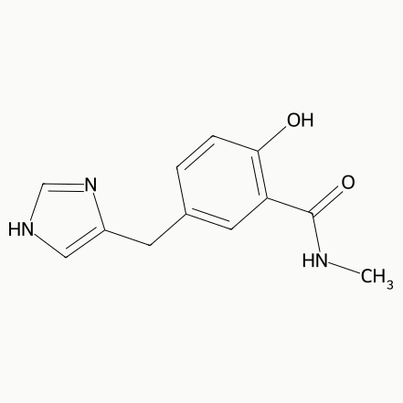 CNC(=O)c1cc(Cc2c[nH]cn2)ccc1O